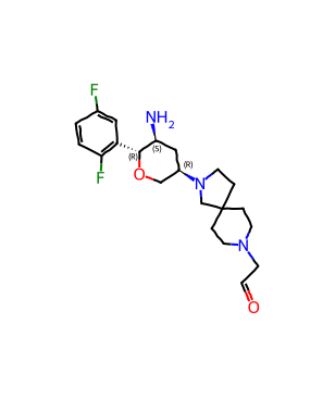 N[C@H]1C[C@@H](N2CCC3(CCN(CC=O)CC3)C2)CO[C@@H]1c1cc(F)ccc1F